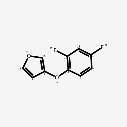 Fc1ccc(Oc2c[c]oc2)c(F)c1